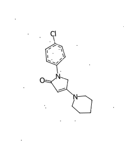 O=C1C=C(N2CCCCC2)CN1c1ccc(Cl)cc1